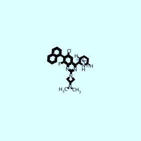 CN(C)C1CN(c2nc(N3C[C@@H]4CC[C@H]3CN4)c3cc(Cl)c(-c4cccc5ccccc45)c(F)c3n2)C1